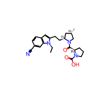 CCn1c(CC[C@H]2C[C@H](C)CN2C(=O)[C@H]2CCCN2C(=O)O)cc2ccc(C#N)cc21